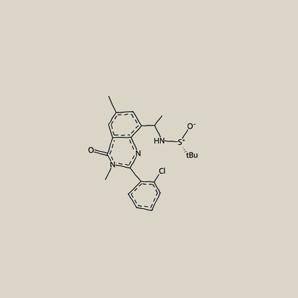 Cc1cc(C(C)N[S@+]([O-])C(C)(C)C)c2nc(-c3ccccc3Cl)n(C)c(=O)c2c1